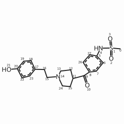 CS(=O)(=O)Nc1ccc(C(=O)C2CCN(CCc3ccc(O)cc3)CC2)cc1